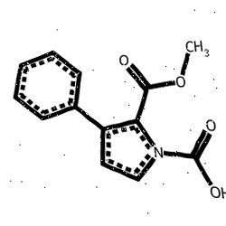 COC(=O)c1c(-c2ccccc2)ccn1C(=O)O